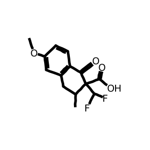 COc1ccc2c(c1)CC(C)C(C(=O)O)(C(F)F)C2=O